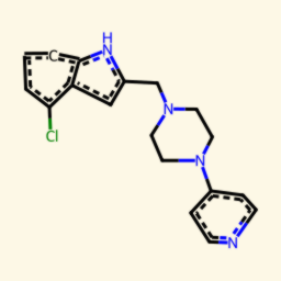 Clc1cccc2[nH]c(CN3CCN(c4ccncc4)CC3)cc12